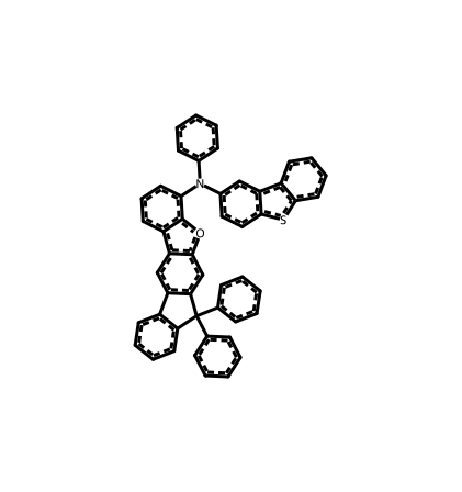 c1ccc(N(c2ccc3sc4ccccc4c3c2)c2cccc3c2oc2cc4c(cc23)-c2ccccc2C4(c2ccccc2)c2ccccc2)cc1